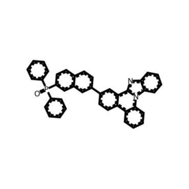 O=P(c1ccccc1)(c1ccccc1)c1ccc2ccc(-c3ccc4c5ccccc5n5c6ccccc6nc5c4c3)cc2c1